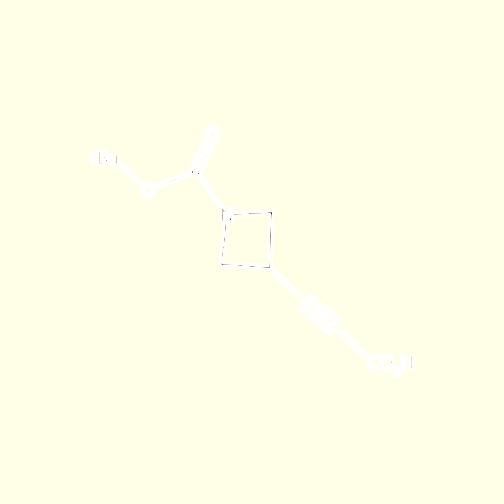 CC(C)(C)OC(=O)N1CC(C#CC(=O)O)C1